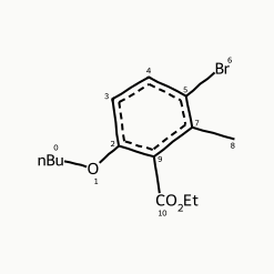 CCCCOc1ccc(Br)c(C)c1C(=O)OCC